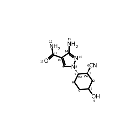 N#C[C@H]1CC(O)CC[C@@H]1n1cc(C(N)=O)c(N)n1